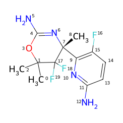 CC1(C)OC(N)=N[C@](C)(c2nc(N)ccc2F)C1(F)F